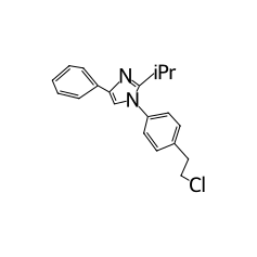 CC(C)c1nc(-c2ccccc2)cn1-c1ccc(CCCl)cc1